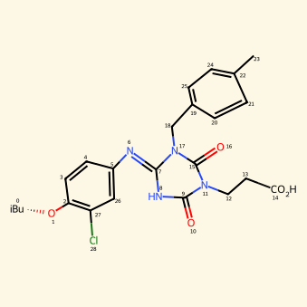 CC[C@@H](C)Oc1ccc(/N=c2\[nH]c(=O)n(CCC(=O)O)c(=O)n2Cc2ccc(C)cc2)cc1Cl